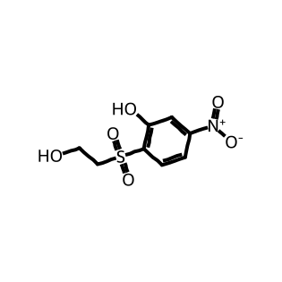 O=[N+]([O-])c1ccc(S(=O)(=O)CCO)c(O)c1